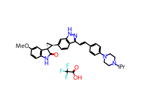 COc1ccc2c(c1)[C@]1(C[C@H]1c1ccc3c(/C=C/c4ccc(N5CCN(C(C)C)CC5)cc4)n[nH]c3c1)C(=O)N2.O=C(O)C(F)(F)F